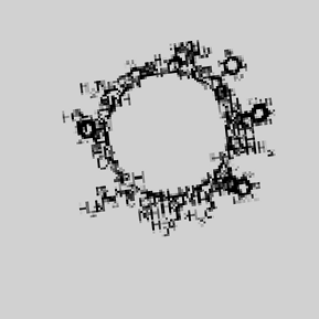 CCCC[C@H]1C(=O)N(C)[C@@H](CCCC)C(=O)N[C@@H](CCN)C(=O)N[C@H](C(=O)NCC(N)=O)CSCC(=O)N[C@@H](Cc2ccc(O)cc2)C(=O)N(C)[C@@H](C)C(=O)N[C@@H](CC(N)=O)C(=O)N2CCC[C@H]2C(=O)N[C@@H](Cc2c[nH]cn2)C(=O)N[C@@H](CCC(=O)O)C(=O)N2C[C@H](C3CCCCC3)C[C@H]2C(=O)N[C@@H](Cc2c[nH]c3ccccc23)C(=O)N[C@@H](CCN)C(=O)N[C@@H](Cc2c[nH]c3ccccc23)C(=O)N1C